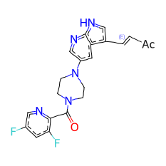 CC(=O)/C=C/c1c[nH]c2ncc(N3CCN(C(=O)c4ncc(F)cc4F)CC3)cc12